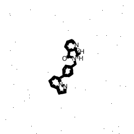 [2H]C1([2H])c2ncccc2C(=O)N1Cc1ccc(-c2cccc3ccnn23)cc1